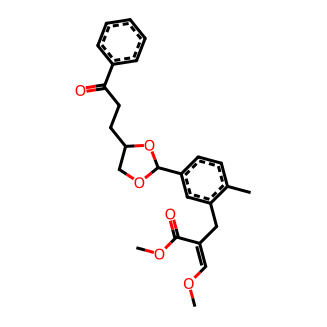 COC=C(Cc1cc(C2OCC(CCC(=O)c3ccccc3)O2)ccc1C)C(=O)OC